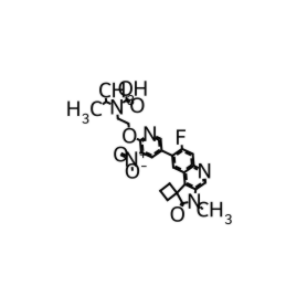 CC(C)N(CCOc1ncc(-c2cc3c4c(cnc3cc2F)N(C)C(=O)C42CCC2)cc1[N+](=O)[O-])C(=O)O